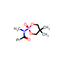 CC(C)C(=O)N(C)P1(=O)OCC(C)(C)CO1